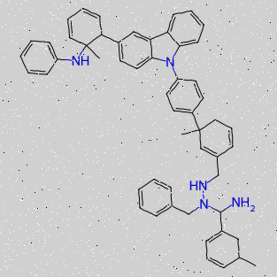 CC1C=CC=C(C(N)N(Cc2ccccc2)NCC2=CC(C)(c3ccc(-n4c5ccccc5c5cc(C6C=CC=CC6(C)Nc6ccccc6)ccc54)cc3)CC=C2)C1